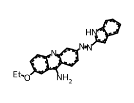 CCOc1ccc2nc3cc(N=Nc4cc5ccccc5[nH]4)ccc3c(N)c2c1